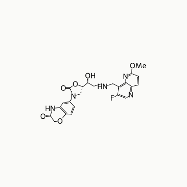 COc1ccc2ncc(F)c(CNCC[C@H](O)[C@@H]3CN(c4ccc5c(c4)NC(=O)CO5)C(=O)O3)c2n1